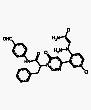 N/C(Cl)=C\N(N)c1ccc(Cl)cc1-c1cc(=O)n(C(Cc2ccccc2)C(=O)Nc2ccc(C=O)cc2)cn1